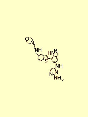 Nc1nccc(Nc2cc(-c3cc4cc(CNCCN5CCOCC5)ccc4s3)c3[nH]ncc3c2)n1